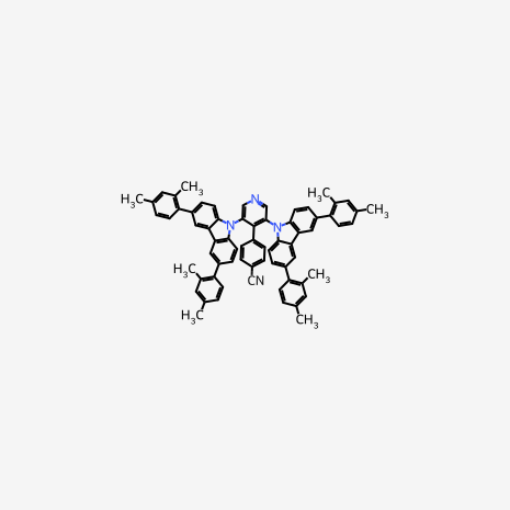 Cc1ccc(-c2ccc3c(c2)c2cc(-c4ccc(C)cc4C)ccc2n3-c2cncc(-n3c4ccc(-c5ccc(C)cc5C)cc4c4cc(-c5ccc(C)cc5C)ccc43)c2-c2ccc(C#N)cc2)c(C)c1